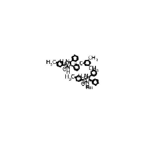 Cc1cc(C)cc(C)c1.Cc1ccc(S(=O)(=O)N[C@@H](c2ccccc2)[C@@H](N)c2ccccc2)cc1.Cc1ccc(S(=O)(=O)N[C@@H](c2ccccc2)[C@@H](N)c2ccccc2)cc1.[Ru]